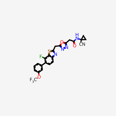 N#CC1(NC(=O)Cc2nnc(Cc3nc4ccc(-c5cccc(OC(F)(F)F)c5)c(F)c4s3)o2)CC1